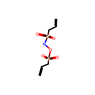 C=CCS(=O)(=O)[N]OS(=O)(=O)CC=C